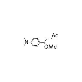 COC(CCC(C)=O)c1ccc(N(C)C)cc1